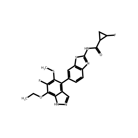 CCOc1c(F)c(SC)c(-c2ccc3nc(NC(=O)C4CC4F)sc3c2)c2cn[nH]c12